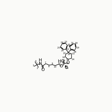 CC(C)(C)NC(=O)CCCCCOP(=O)(O)OC1CCC(c2ccccc2)(c2ccccc2)CC1